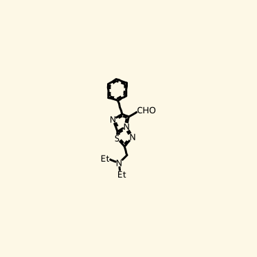 CCN(CC)Cc1nn2c(C=O)c(-c3ccccc3)nc2s1